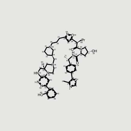 Cc1ncsc1-c1ccc([C@H](C)NC(=O)[C@@H]2C[C@@H](O)CN2C(=O)[C@@H](c2cc(CCCN3CCC[C@H](CN4CCN5c6cc(-c7ccccc7O)nnc6NC[C@@H]5C4)C3)no2)C(C)C)cc1